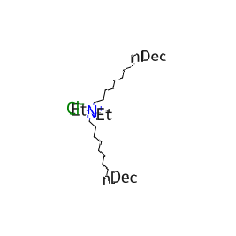 CCCCCCCCCCCCCCCCCC[N+](CC)(CC)CCCCCCCCCCCCCCCCCC.[Cl-]